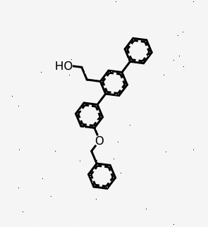 OCCc1cc(-c2ccccc2)ccc1-c1cccc(OCc2ccccc2)c1